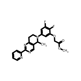 COC(=O)COc1cc(N2CCc3nc(-c4ccccn4)ncc3C2C)cc(F)c1F